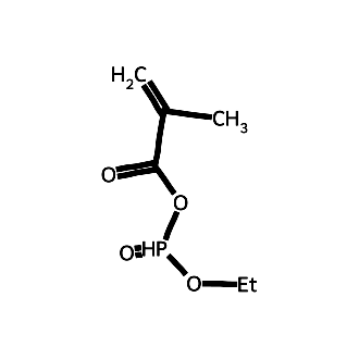 C=C(C)C(=O)O[PH](=O)OCC